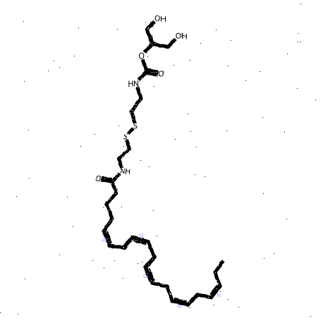 CC/C=C\C/C=C\C/C=C\C/C=C\C/C=C\CCCC(=O)NCCSSCCNC(=O)OC(CO)CO